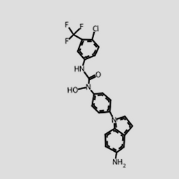 Nc1ccc2c(ccn2-c2ccc(N(O)C(=O)Nc3ccc(Cl)c(C(F)(F)F)c3)cc2)c1